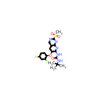 CC(C)(C)NC(=O)Nc1nc2nc(S(C)(=O)=O)ncc2cc1Oc1ccc(F)cc1F